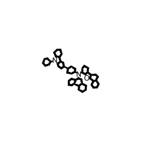 c1ccc(-n2c3ccccc3c3cc(-c4ccc(N(c5cc6ccccc6c6ccccc56)c5cccc6c5oc5c7ccccc7ccc65)cc4)ccc32)cc1